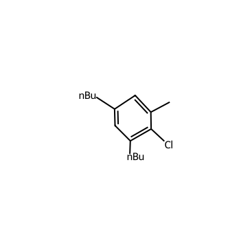 CCCCc1cc(C)c(Cl)c(CCCC)c1